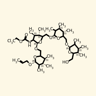 C=CCO[C@@H]1OC(CO[C@@H]2OC(CO[C@@H]3OC(CO[C@@H]4OC(CO)[C@@H](C)[C@H](C)C4C)[C@@H](C)[C@H](C)C3C)[C@@H](C)[C@H](C)C2NC(=O)OCC(Cl)(Cl)Cl)[C@@H](C)[C@H](C)C1C